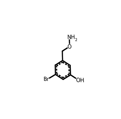 NOCc1cc(O)cc(Br)c1